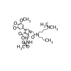 CCCCN(CCCCN(C)C)C(=O)CN1C[C@H](c2cc(OC)c3c(c2)OCO3)[C@@H](C(=O)O)[C@@H]1CCNS(C)(=O)=O